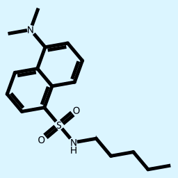 CCCC[CH]NS(=O)(=O)c1cccc2c(N(C)C)cccc12